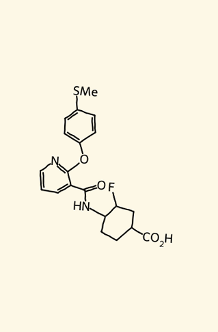 CSc1ccc(Oc2ncccc2C(=O)NC2CCC(C(=O)O)CC2F)cc1